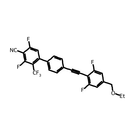 CCOCc1cc(F)c(C#Cc2ccc(-c3cc(F)c(C#N)c(F)c3C(F)(F)F)cc2)c(F)c1